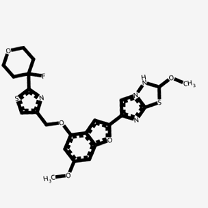 COc1cc(OCc2csc(C3(F)CCOCC3)n2)c2cc(-c3cn4c(n3)SC(OC)N4)oc2c1